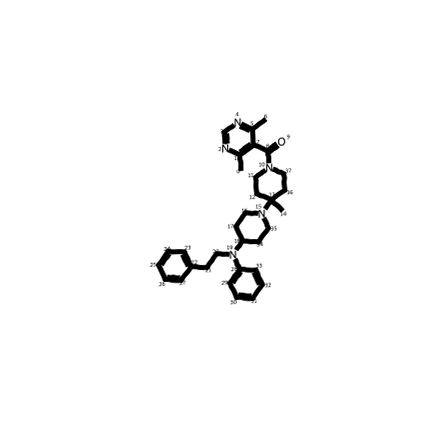 Cc1ncnc(C)c1C(=O)N1CCC(C)(N2CCC(N(CCc3ccccc3)c3ccccc3)CC2)CC1